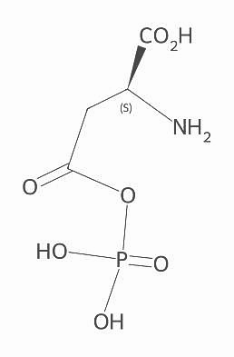 N[C@@H](CC(=O)OP(=O)(O)O)C(=O)O